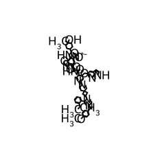 COc1ccc(CN2CCN(C3CC4(CCN(c5cc(Oc6cnc7[nH]ccc7c6)c(C(=O)NS(=O)(=O)c6cc([N+](=O)[O-])c(NCC7CCC(C)(O)CC7)c7ocnc67)cn5)CC4)C3)C(c3ccccc3C(C)C)C2)cc1